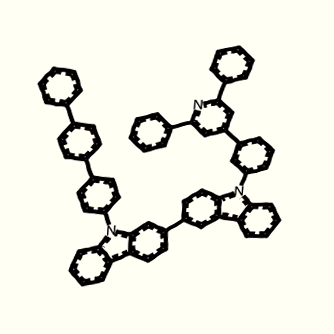 c1ccc(-c2ccc(-c3ccc(-n4c5ccccc5c5ccc(-c6ccc7c(c6)c6ccccc6n7-c6cccc(-c7cc(-c8ccccc8)nc(-c8ccccc8)c7)c6)cc54)cc3)cc2)cc1